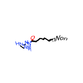 CCCCCCCCCCCCCCCC(=O)NN=C1NCCN1